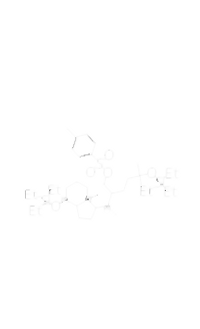 CC[Si](CC)(CC)O[C@H]1CCC[C@]2(C)C([C@@H](C)C(CCC(C)(C)O[Si](CC)(CC)CC)COS(=O)(=O)c3ccc(C)cc3)CCC12